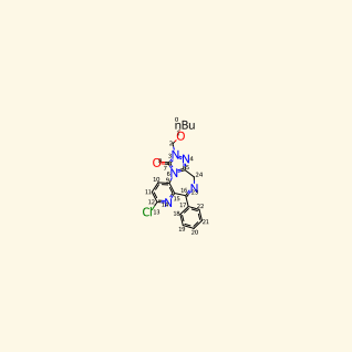 CCCCOCn1nc2n(c1=O)-c1ccc(Cl)nc1C(c1ccccc1)=NC2